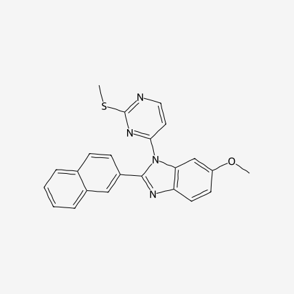 COc1ccc2nc(-c3ccc4ccccc4c3)n(-c3ccnc(SC)n3)c2c1